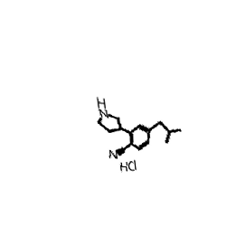 CC(C)Cc1ccc(C#N)c(C2CCNC2)c1.Cl